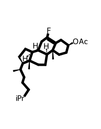 CC(=O)O[C@H]1CC[C@@]2(C)C(=C(F)C[C@H]3[C@@H]4CC[C@H]([C@H](C)CCCC(C)C)[C@@]4(C)CC[C@@H]32)C1